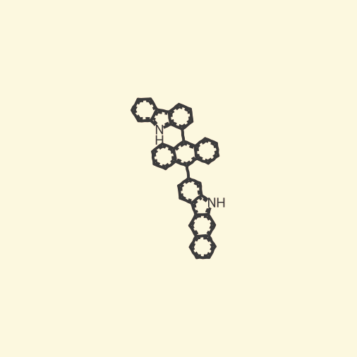 c1ccc2cc3c(cc2c1)[nH]c1cc(-c2c4ccccc4c(-c4cccc5c4[nH]c4ccccc45)c4ccccc24)ccc13